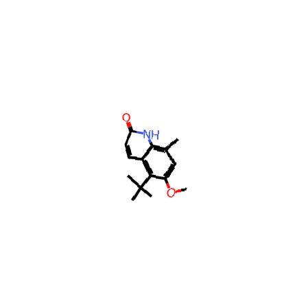 COc1cc(C)c2[nH]c(=O)ccc2c1C(C)(C)C